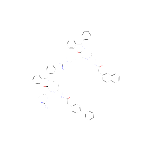 CCC(NC(=N)N)[C@H]1N[C@@H](CNC(=O)Cc2ccc(-c3ccccc3)cc2)CCN(C(c2ccccc2)c2ccccc2)C1=O.N=C(N)NCCC[C@H]1N[C@@H](CNC(=O)Cc2ccc3ccccc3c2)CCN(C(c2ccccc2)c2ccccc2)C1=O